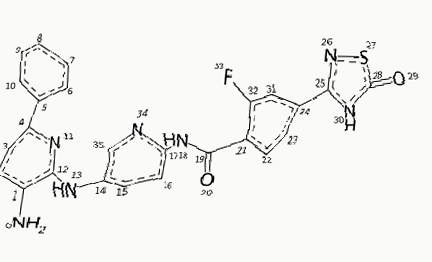 Nc1ccc(-c2ccccc2)nc1Nc1ccc(NC(=O)c2ccc(-c3nsc(=O)[nH]3)cc2F)nc1